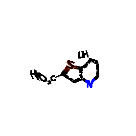 O=C(O)c1cc2ncccc2s1.[LiH]